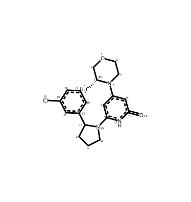 C[C@@H]1COCCN1c1cc(N2CCCC2c2cccc(Cl)c2)[nH]c(=O)c1